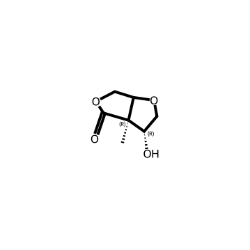 C[C@]12C(=O)OCC1OC[C@@H]2O